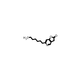 CCCCCCCc1cc2c(cn1)CC(=O)O2